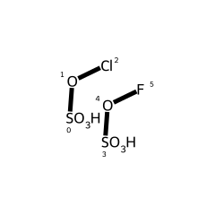 O=S(=O)(O)OCl.O=S(=O)(O)OF